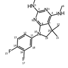 CNc1nc(NC)c2c(n1)N(c1ccc(F)c(F)c1)CC2(C)C